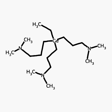 C[CH2][Ge]([CH2]CCN(C)C)([CH2]CCN(C)C)[CH2]CCN(C)C